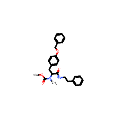 CN(C(=O)OC(C)(C)C)C(Cc1ccc(OCc2ccccc2)cc1)C(=O)NCCc1ccccc1